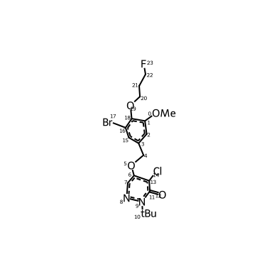 COc1cc(COc2cnn(C(C)(C)C)c(=O)c2Cl)cc(Br)c1OCCCF